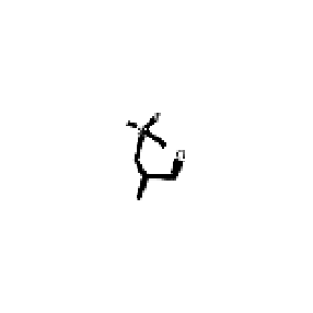 CC(C=O)C[Si](C)(C)F